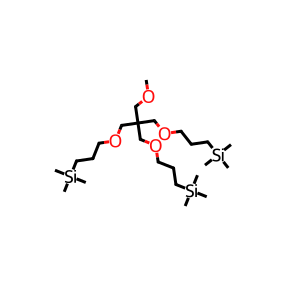 COCC(COCCC[Si](C)(C)C)(COCCC[Si](C)(C)C)COCCC[Si](C)(C)C